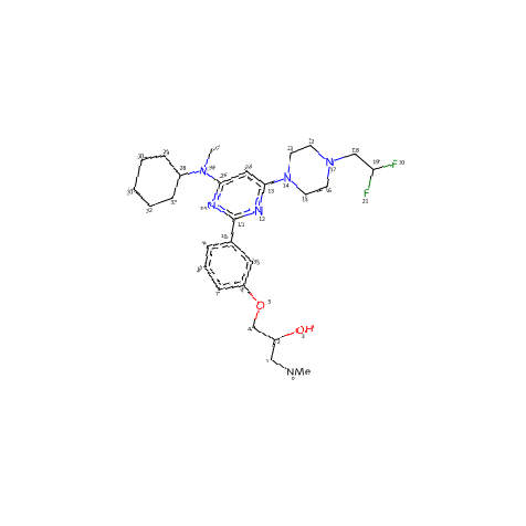 CNCC(O)COc1cccc(-c2nc(N3CCN(CC(F)F)CC3)cc(N(C)C3CCCCC3)n2)c1